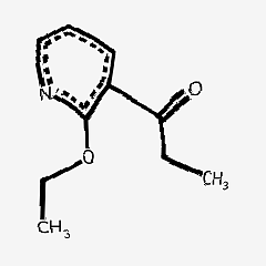 CCOc1ncccc1C(=O)CC